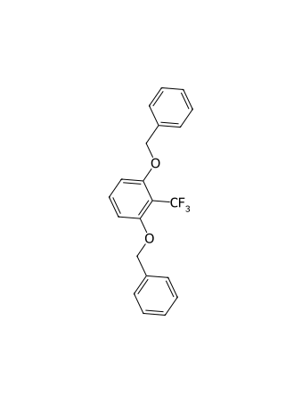 FC(F)(F)c1c(OCc2ccccc2)cccc1OCc1ccccc1